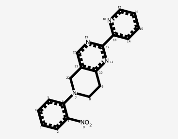 O=[N+]([O-])c1ccccc1N1CCc2nc(-c3ccccn3)ncc2C1